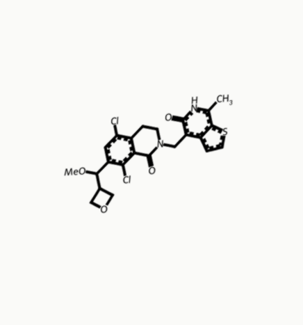 COC(c1cc(Cl)c2c(c1Cl)C(=O)N(Cc1c(=O)[nH]c(C)c3sccc13)CC2)C1COC1